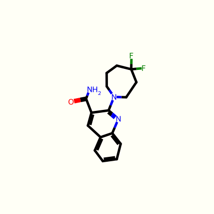 NC(=O)c1cc2ccccc2nc1N1CCCC(F)(F)CC1